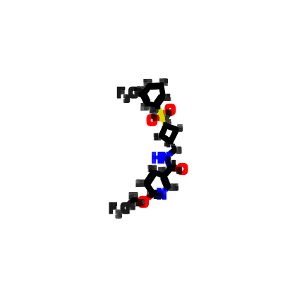 O=C(NC[C@H]1C[C@H](S(=O)(=O)c2cccc(C(F)(F)F)c2)C1)c1ccc(OCC(F)(F)F)nc1